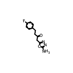 Nc1nnc(CC(=O)CCc2ccc(F)cc2)o1